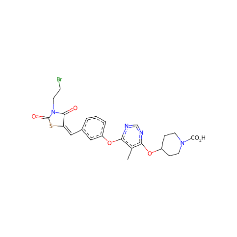 Cc1c(Oc2cccc(C=C3SC(=O)N(CCBr)C3=O)c2)ncnc1OC1CCN(C(=O)O)CC1